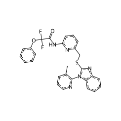 Cc1cccnc1-n1c(SCc2cccc(NC(=O)C(F)(F)Oc3ccccc3)n2)nc2ccccc21